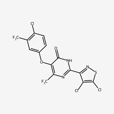 O=c1[nH]c(-c2nsc(Cl)c2Cl)nc(C(F)(F)F)c1Oc1ccc(Cl)c(C(F)(F)F)c1